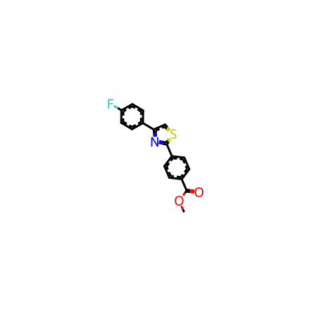 COC(=O)c1ccc(-c2nc(-c3ccc(F)cc3)cs2)cc1